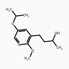 COc1ncc(OC(C)C)cc1CCC(C)O